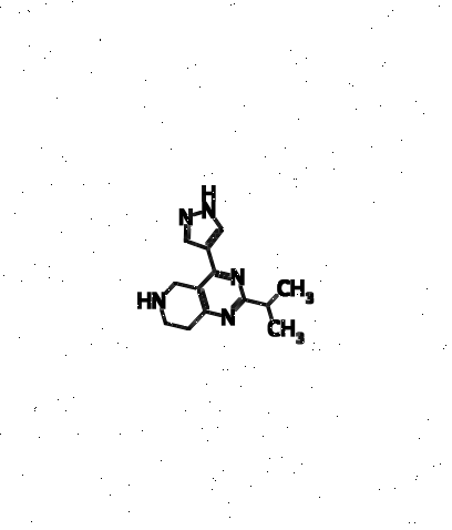 CC(C)c1nc2c(c(-c3cn[nH]c3)n1)CNCC2